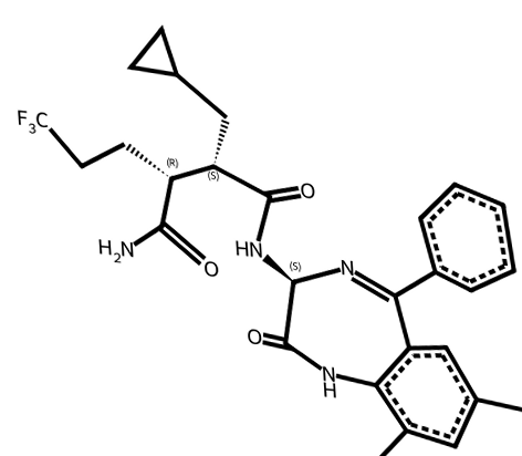 Cc1cc(F)c2c(c1)C(c1ccccc1)=N[C@H](NC(=O)[C@@H](CC1CC1)[C@@H](CCC(F)(F)F)C(N)=O)C(=O)N2